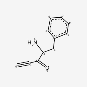 C#CC(=O)C(N)Cc1ccccc1